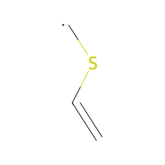 [CH2]SC=C